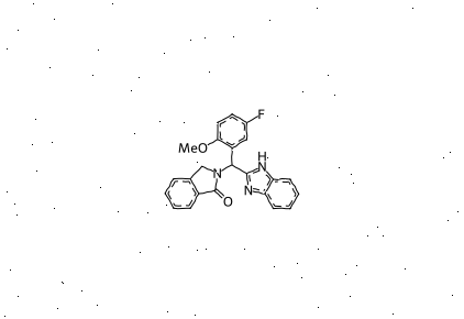 COc1ccc(F)cc1C(c1nc2ccccc2[nH]1)N1Cc2ccccc2C1=O